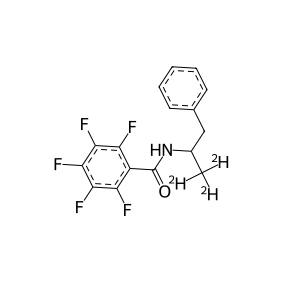 [2H]C([2H])([2H])C(Cc1ccccc1)NC(=O)c1c(F)c(F)c(F)c(F)c1F